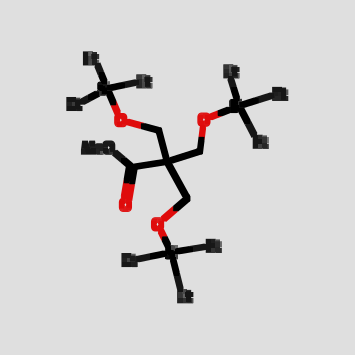 CC[Si](CC)(CC)OCC(CO[Si](CC)(CC)CC)(CO[Si](CC)(CC)CC)C(=O)OC